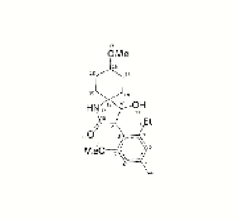 CCc1cc(C)cc(OC)c1C1C(=O)NC2(CCC(OC)CC2)C1O